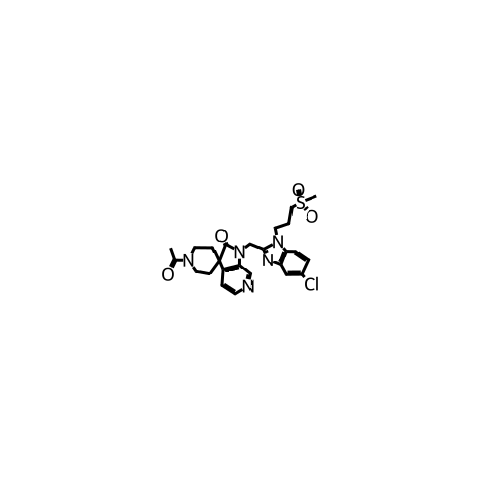 CC(=O)N1CCC2(CC1)C(=O)N(Cc1nc3cc(Cl)ccc3n1CCCS(C)(=O)=O)c1cnccc12